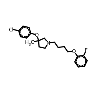 CC1(Oc2ccc(Cl)cc2)CCN(CCCCOc2ccccc2F)C1